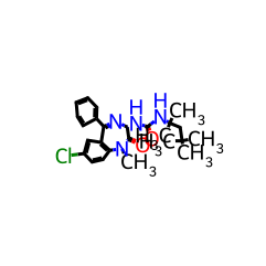 CN1C(=O)C(NC(=O)NC(C)(C)CC(C)(C)C)N=C(c2ccccc2)c2cc(Cl)ccc21